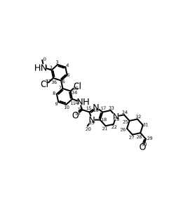 CNc1cccc(-c2cccc(NC(=O)c3nc4c(n3C)CCN(CC3CCC(C=O)CC3)C4)c2Cl)c1Cl